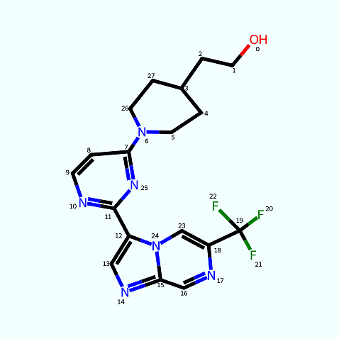 OCCC1CCN(c2ccnc(-c3cnc4cnc(C(F)(F)F)cn34)n2)CC1